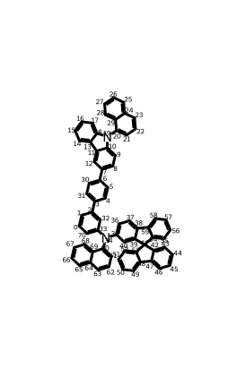 c1cc(-c2ccc(-c3ccc4c(c3)c3ccccc3n4-c3cccc4ccccc34)cc2)cc(N(c2ccc3c(c2)C2(c4ccccc4-c4ccccc42)c2ccccc2-3)c2cccc3ccccc23)c1